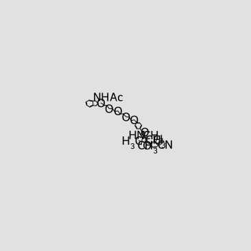 CC(=O)N[C@H]1c2ccccc2C[C@H]1OCCOCCOCCOCCOc1ccc(C(=O)N[C@H]2C(C)(C)[C@H](Oc3ccc(C#N)c(Cl)c3)C2(C)C)cc1